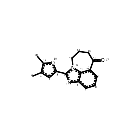 Cc1cc(-c2nc3cccc4c3n2CCCC4=O)oc1C